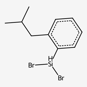 CC(C)Cc1ccccc1[SiH](Br)Br